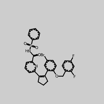 O=C(NS(=O)(=O)c1ccccc1)c1cccc(C2=C(c3cc(Br)ccc3OCc3ccc(F)cc3F)CCC2)n1